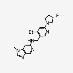 CCc1cc(N2CC[C@H](F)C2)ncc1CNc1cc2c(cn1)ncn2C